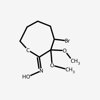 COC1(OC)C(=NO)CCCCCC1Br